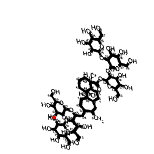 C=C1CC2CCC3[C@](C)(C(=O)OC4OC(CO)C(O)C(O)C4OC4OC(CO)C(O)C(O)C4OC4OC(CO)C(O)C(O)C4O)CCC[C@@]3(C)[C@@H]2CCC1CC(OC1OC(CO)C(O)C(O)C1O)C(OC1OC(CO)C(O)C(O)C1O)C(O)C(O)CO